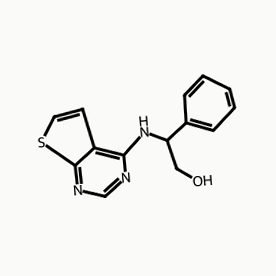 OCC(Nc1ncnc2sccc12)c1ccccc1